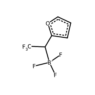 F[B-](F)(F)C(c1ccco1)C(F)(F)F